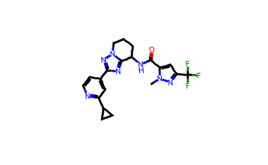 Cn1nc(C(F)(F)F)cc1C(=O)NC1CCCn2nc(-c3ccnc(C4CC4)c3)nc21